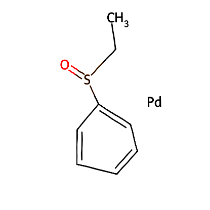 CCS(=O)c1ccccc1.[Pd]